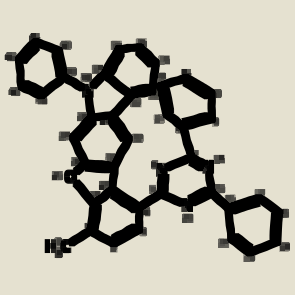 Cc1ccc(-c2nc(-c3ccccc3)nc(-c3ccccc3)n2)c2c1oc1cc3c(cc12)c1ccccc1n3-c1ccccc1